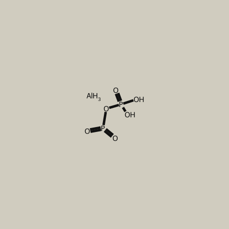 O=P(=O)OP(=O)(O)O.[AlH3]